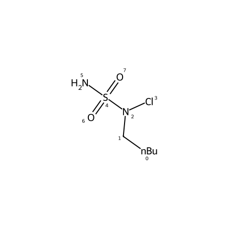 CCCCCN(Cl)S(N)(=O)=O